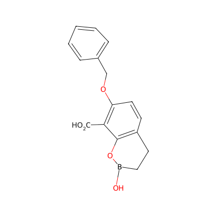 O=C(O)c1c(OCc2ccccc2)ccc2c1OB(O)CC2